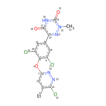 CCc1cc(Oc2c(Cl)cc(-c3nn(C)c(=O)[nH]c3=O)cc2Cl)nnc1Cl